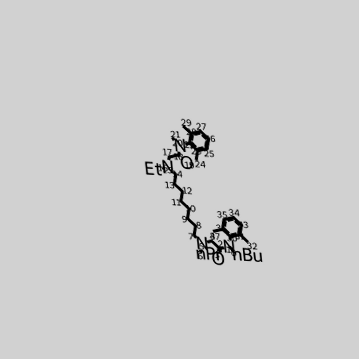 CCCCN(C(=O)CN(CCC)CCCCCCCCN(CC)CC(=O)N(C)c1c(C)cccc1C)c1c(C)cccc1C